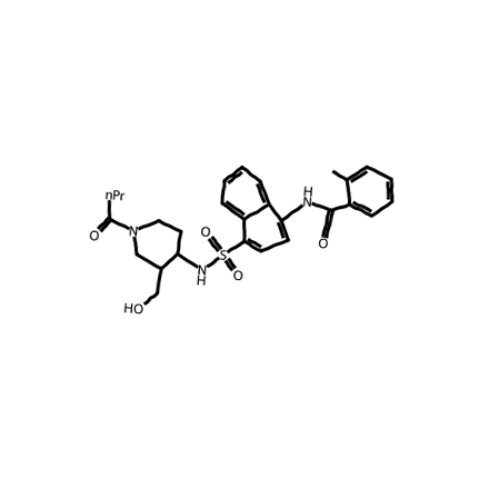 CCCC(=O)N1CCC(NS(=O)(=O)c2ccc(NC(=O)c3ccccc3C)c3ccccc23)C(CO)C1